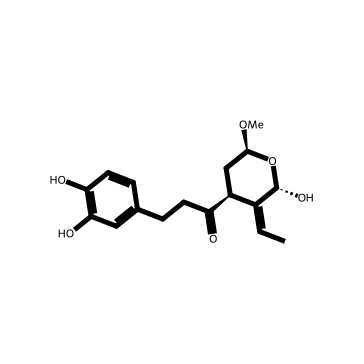 C/C=C1/[C@@H](C(=O)CCc2ccc(O)c(O)c2)C[C@@H](OC)O[C@@H]1O